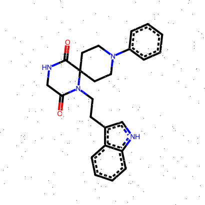 O=C1CNC(=O)C2(CCN(c3ccccc3)CC2)N1CCc1c[nH]c2ccccc12